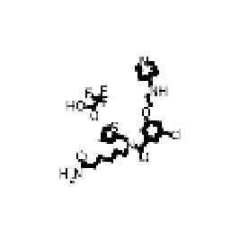 NC(=O)CCCCCN(Cc1cccs1)C(=O)c1cc(Cl)cc(OCCNc2ccncc2)c1.O=C(O)C(F)(F)F